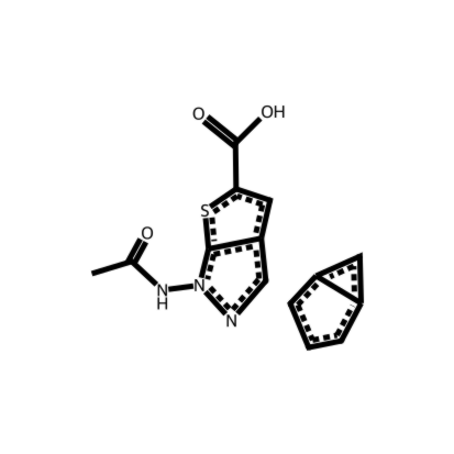 CC(=O)Nn1ncc2cc(C(=O)O)sc21.c1cc2cc-2c1